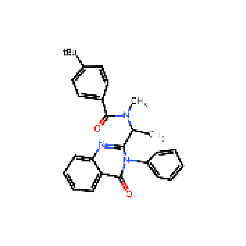 CC(c1nc2ccccc2c(=O)n1-c1ccccc1)N(C)C(=O)c1ccc(C(C)(C)C)cc1